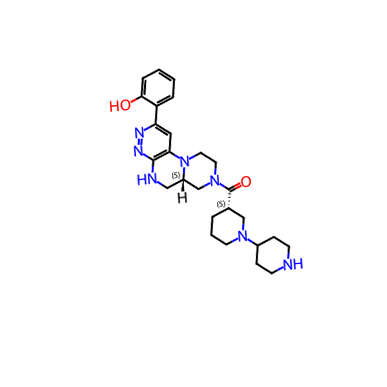 O=C([C@H]1CCCN(C2CCNCC2)C1)N1CCN2c3cc(-c4ccccc4O)nnc3NC[C@H]2C1